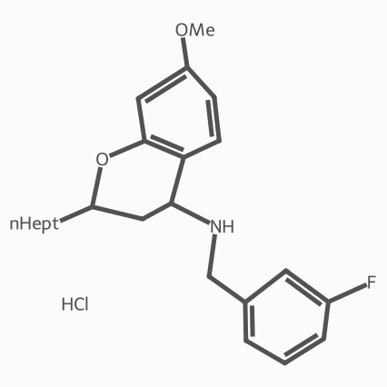 CCCCCCCC1CC(NCc2cccc(F)c2)c2ccc(OC)cc2O1.Cl